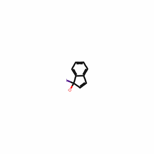 [O]C1(I)C=Cc2ccccc21